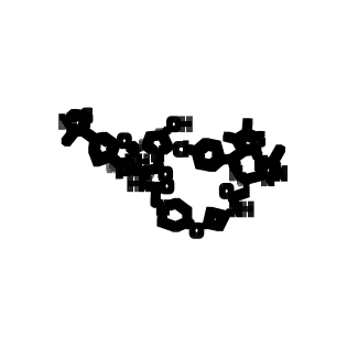 Cc1ncsc1-c1ccc([C@H](C)NC(=O)[C@@H]2C[C@@H](O)CN2C(=O)[C@@H](NC(=O)CN2CCC(O[C@H]3C[C@H](NC(=O)C[C@@H]4N=C(c5ccc(Cl)cc5)c5c(sc(C)c5C)-n5c(C)nnc54)C3)CC2)C(C)(C)C)cc1